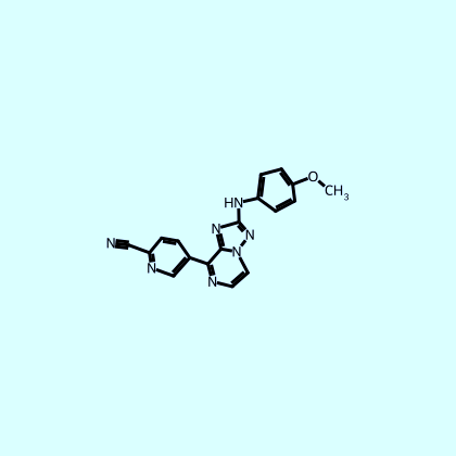 COc1ccc(Nc2nc3c(-c4ccc(C#N)nc4)nccn3n2)cc1